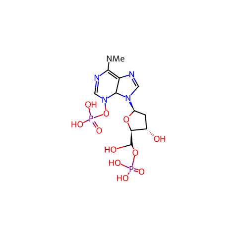 CNC1=C2N=CN([C@H]3C[C@H](O)[C@@H](C(O)OP(=O)(O)O)O3)C2N(OP(=O)(O)O)C=N1